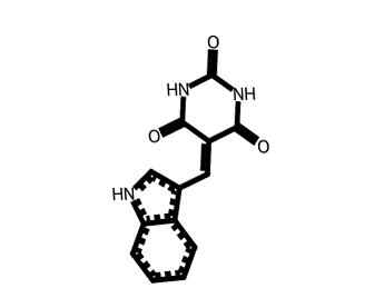 O=C1NC(=O)C(=Cc2c[nH]c3ccccc23)C(=O)N1